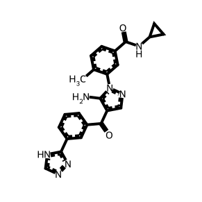 Cc1ccc(C(=O)NC2CC2)cc1-n1ncc(C(=O)c2cccc(-c3nnc[nH]3)c2)c1N